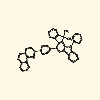 CC1(C)c2ccccc2-c2c(-c3ccc(-c4ccc5ccc6cccnc6c5n4)cc3)cc3c4ccccc4n(-c4ccccc4)c3c21